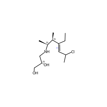 CC/C(=C\C(C)Cl)[C@H](C)[C@H](C)NC[C@H](O)CO